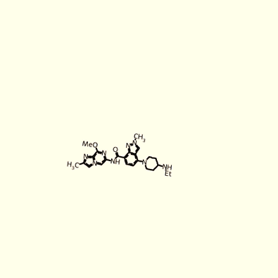 CCNC1CCN(c2ccc(C(=O)Nc3cn4cc(C)nc4c(OC)n3)c3nn(C)cc23)CC1